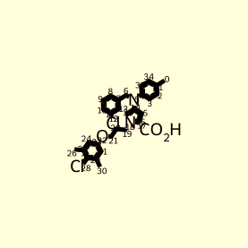 Cc1ccc(N(Cc2cccc(Cl)c2)c2cc(C(=O)O)n(CCCOc3cc(C)c(Cl)c(C)c3)c2)cc1